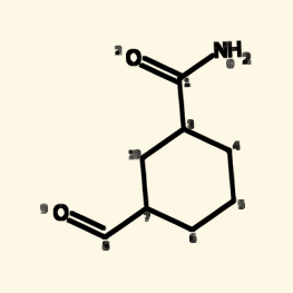 NC(=O)C1CCCC(C=O)C1